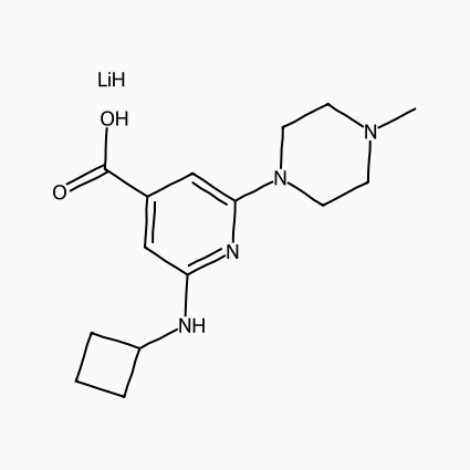 CN1CCN(c2cc(C(=O)O)cc(NC3CCC3)n2)CC1.[LiH]